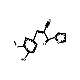 COc1cc(C=C(C#N)C(=O)c2ccco2)ccc1O